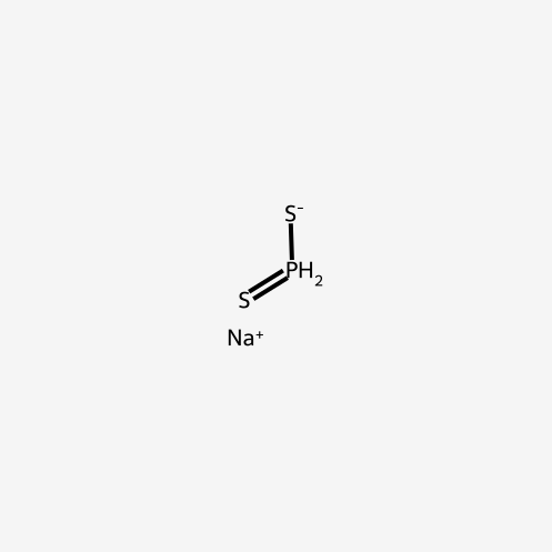 S=[PH2][S-].[Na+]